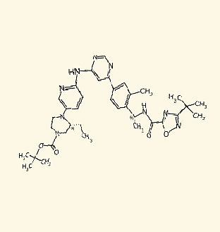 CC[C@@H]1CN(C(=O)OC(C)(C)C)CCN1c1ccc(Nc2cc(-c3ccc([C@@H](C)NC(=O)c4nc(C(C)(C)C)no4)c(C)c3)ncn2)nc1